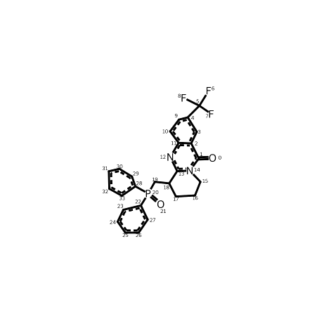 O=c1c2cc(C(F)(F)F)ccc2nc2n1CCCC2CP(=O)(c1ccccc1)c1ccccc1